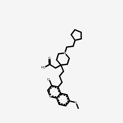 COc1ccc2ncc(Cl)c(CCCC3(CC(=O)O)CCN(CCC4CCCC4)CC3)c2c1